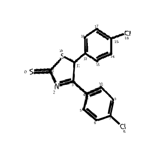 S=C1N=C(c2ccc(Cl)cc2)C(c2ccc(Cl)cc2)S1